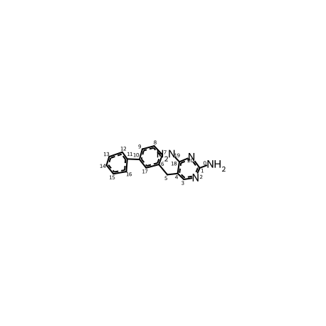 Nc1ncc(Cc2cccc(-c3ccccc3)c2)c(N)n1